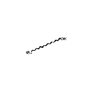 CC(C)(C)CCCCCCCCCCCCCCCO